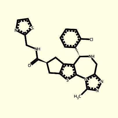 Cc1nnc2n1-c1sc3c(c1[C@H](c1ccccc1Cl)NC2)C[C@H](C(=O)NCc1nccs1)C3